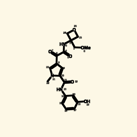 COCC1(NC(=O)C(=O)c2cc(C(=O)Nc3cccc(O)c3)n(C)c2)COC1